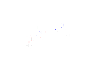 CC(C)CC(C#N)C(=O)N1CCC[C@@H]1COC[C@H](NCC(F)(F)F)C(=O)N[C@@H](CC(C)C)B(O)O